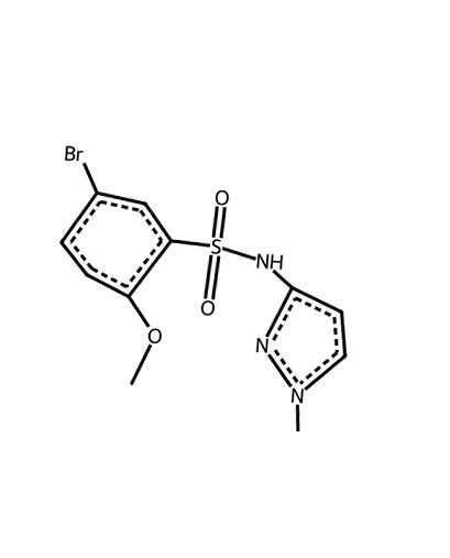 COc1ccc(Br)cc1S(=O)(=O)Nc1ccn(C)n1